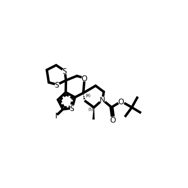 C[C@H]1C[C@@]2(CCN1C(=O)OC(C)(C)C)OCC1(SCCCS1)c1cc(I)sc12